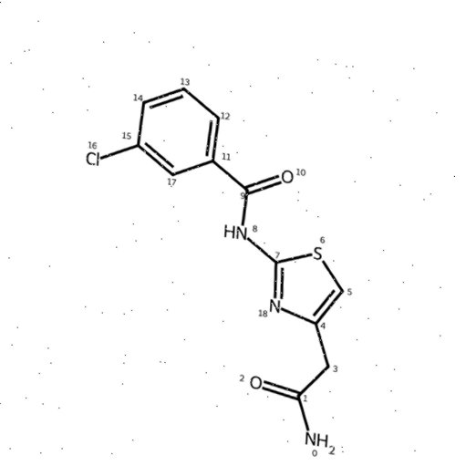 NC(=O)Cc1csc(NC(=O)c2cccc(Cl)c2)n1